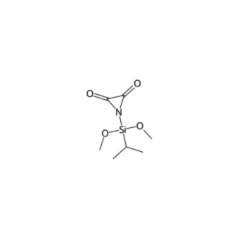 CO[Si](OC)(C(C)C)n1c(=O)c1=O